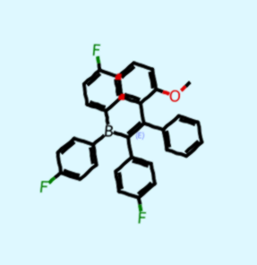 COc1ccccc1/C(=C(\B(c1ccc(F)cc1)c1ccc(F)cc1)c1ccc(F)cc1)c1ccccc1